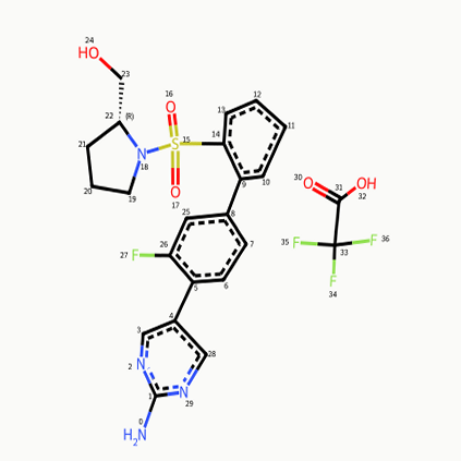 Nc1ncc(-c2ccc(-c3ccccc3S(=O)(=O)N3CCC[C@@H]3CO)cc2F)cn1.O=C(O)C(F)(F)F